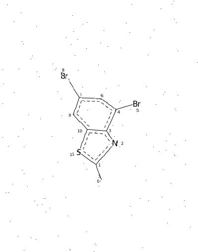 Cc1nc2c(Br)cc(Br)cc2s1